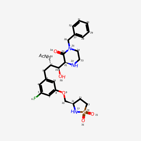 CC(=O)N[C@@H](Cc1cc(F)cc(OC[C@H]2CCS(=O)(=O)N2)c1)[C@H](O)[C@@H]1NCCN(Cc2ccccc2)C1=O